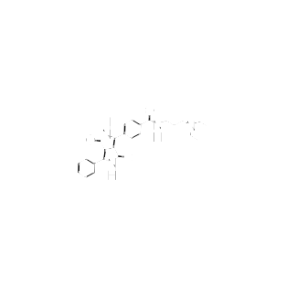 CCN(CC)CCCNC(=O)c1ccc(C2=C3C(=O)NC(c4ccccc4)=C3C(=O)N2)cc1